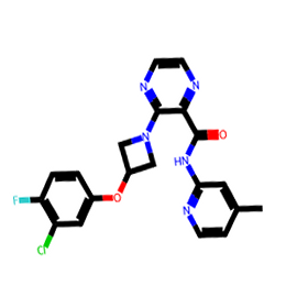 Cc1ccnc(NC(=O)c2nccnc2N2CC(Oc3ccc(F)c(Cl)c3)C2)c1